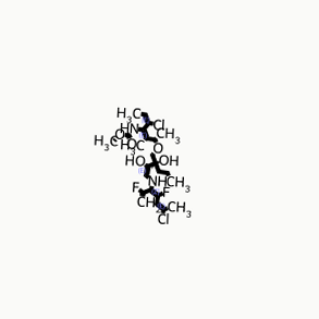 C=C(F)/C(N/C=C(/O)[C@@](O)(CCC)COC(C)/C(C)=C(NC(=O)OC)\C(Cl)=C/C)=C(F)\C=C(/C)Cl